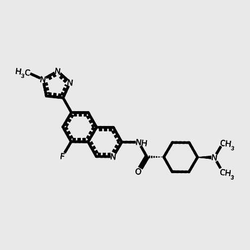 Cn1cc(-c2cc(F)c3cnc(NC(=O)[C@H]4CC[C@H](N(C)C)CC4)cc3c2)nn1